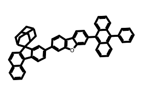 c1ccc(-c2c3ccccc3c(-c3ccc4c(c3)oc3cc(-c5ccc6c(c5)C5(c7ccc8ccccc8c7-6)C6CC7CC(C6)CC5C7)ccc34)c3ccccc23)cc1